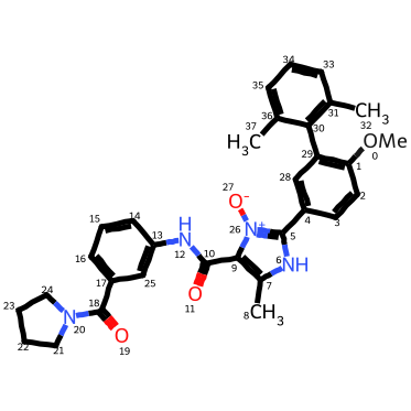 COc1ccc(-c2[nH]c(C)c(C(=O)Nc3cccc(C(=O)N4CCCC4)c3)[n+]2[O-])cc1-c1c(C)cccc1C